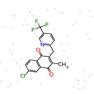 CC1=C(Cc2ccc(C(F)(F)F)cn2)C(=O)c2ccc(Cl)cc2C1=O